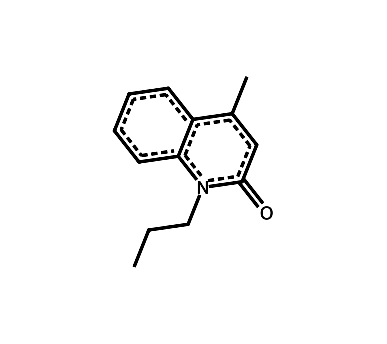 CCCn1c(=O)cc(C)c2ccccc21